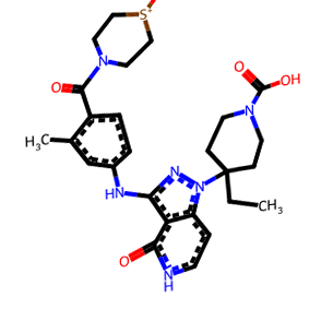 CCC1(n2nc(Nc3ccc(C(=O)N4CC[S+]([O-])CC4)c(C)c3)c3c(=O)[nH]ccc32)CCN(C(=O)O)CC1